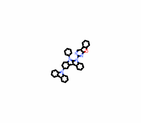 c1ccc(-n2c3ccc(-n4c5ccccc5c5ccccc54)cc3c3c4ccccc4n(-c4ncc5c(n4)oc4ccccc45)c32)cc1